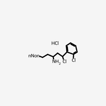 CCCCCCCCCCCC(N)CC(Cl)c1ccccc1Cl.Cl